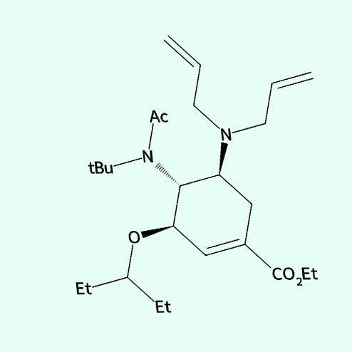 C=CCN(CC=C)[C@H]1CC(C(=O)OCC)=C[C@@H](OC(CC)CC)[C@@H]1N(C(C)=O)C(C)(C)C